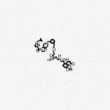 CCCN(CCNC[C@H](O)c1ccc(O)c2[nH]c(=O)ccc12)C(=O)CCOCCc1cccc(CN2CCC3(CC2)CN(C(=O)c2ccn(CC4CC4)n2)CCO3)c1